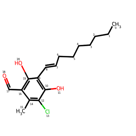 CCCCCCCC=Cc1c(O)c(Cl)c(C)c(C=O)c1O